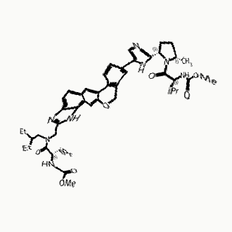 CCC(CC)CN(Cc1nc2ccc3cc4c(cc3c2[nH]1)OCc1cc(-c2cnc([C@@H]3CC[C@H](C)N3C(=O)[C@@H](NC(=O)OC)C(C)C)[nH]2)ccc1-4)C(=O)[C@@H](NC(=O)OC)C(C)C